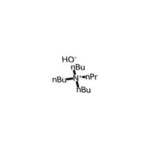 CCCC[N+](CCC)(CCCC)CCCC.[OH-]